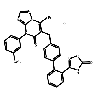 CCCc1c(Cc2ccc(-c3ccccc3-c3noc(=O)[nH]3)cc2)c(=O)n(-c2cccc(OC)c2)c2ncnn12.[K]